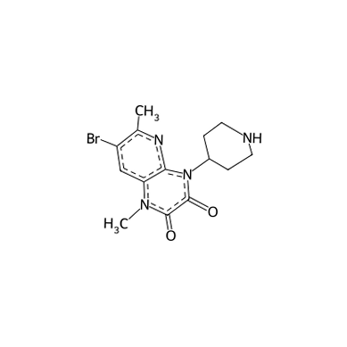 Cc1nc2c(cc1Br)n(C)c(=O)c(=O)n2C1CCNCC1